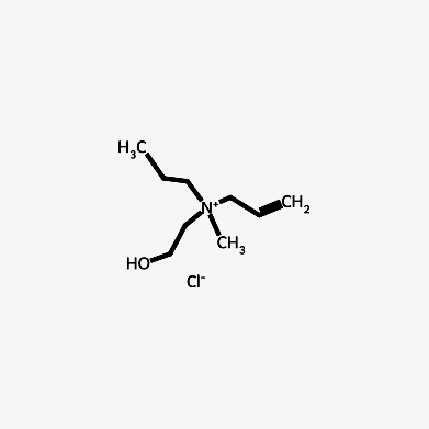 C=CC[N+](C)(CCC)CCO.[Cl-]